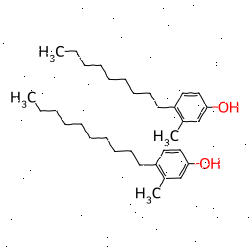 CCCCCCCCCCc1ccc(O)cc1C.CCCCCCCCCc1ccc(O)cc1C